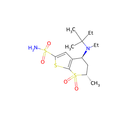 CCN([C@H]1C[C@H](C)S(=O)(=O)c2sc(S(N)(=O)=O)cc21)C(C)(C)CC